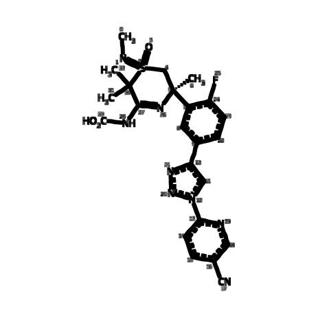 CN=S1(=O)C[C@@](C)(c2cc(-c3cn(-c4ccc(C#N)cn4)nn3)ccc2F)N=C(NC(=O)O)C1(C)C